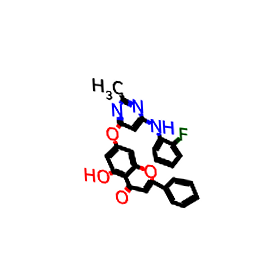 Cc1nc(Nc2ccccc2F)cc(Oc2cc(O)c3c(=O)cc(-c4ccccc4)oc3c2)n1